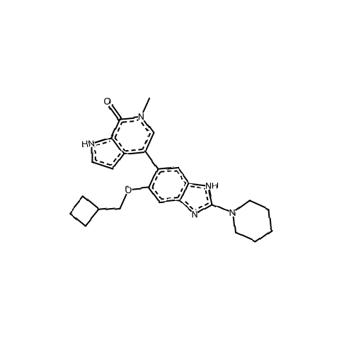 Cn1cc(-c2cc3[nH]c(N4CCCCC4)nc3cc2OCC2CCC2)c2cc[nH]c2c1=O